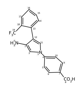 Nc1cn(-c2ccc(C(=O)O)cc2)cc1-c1ccccc1C(F)(F)F